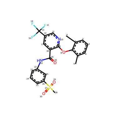 Cc1cccc(C)c1Oc1ncc(C(F)(F)F)cc1C(=O)Nc1cccc(S(C)(=O)=O)c1